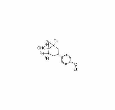 [2H]C1([2H])CC(c2ccc(OCC)cc2)CC([2H])([2H])C1([2H])C=O